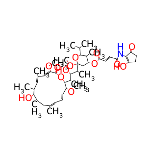 CO/C1=C\C(C)=C\C(C)C(O)C(C)C/C(C)=C/C=C/C(OC)C(C(C)C(O)C(C)C2(OC)CC(OC(=O)/C=C/C(=O)NC3=C(O)CCC3=O)C(C)C(C(C)C)O2)OC1=O